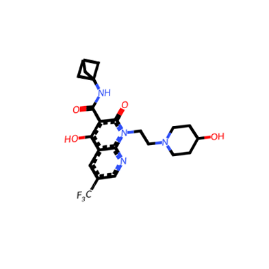 O=C(NC12CC(C1)C2)c1c(O)c2cc(C(F)(F)F)cnc2n(CCN2CCC(O)CC2)c1=O